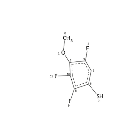 COc1c(F)cc(S)c(F)c1F